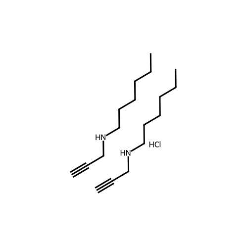 C#CCNCCCCCC.C#CCNCCCCCC.Cl